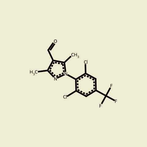 Cc1nn(-c2c(Cl)cc(C(F)(F)F)cc2Cl)c(C)c1C=O